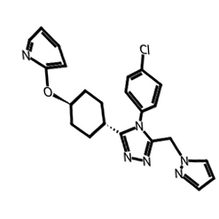 Clc1ccc(-n2c(Cn3cccn3)nnc2[C@H]2CC[C@H](Oc3ccccn3)CC2)cc1